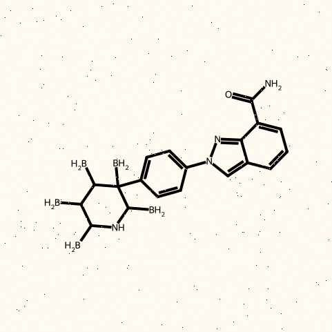 BC1NC(B)C(B)(c2ccc(-n3cc4cccc(C(N)=O)c4n3)cc2)C(B)C1B